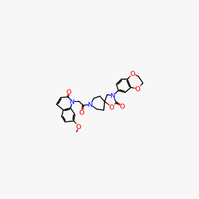 COc1ccc2ccc(=O)n(CC(=O)N3CCC4(CC3)CN(c3ccc5c(c3)OCCO5)C(=O)O4)c2c1